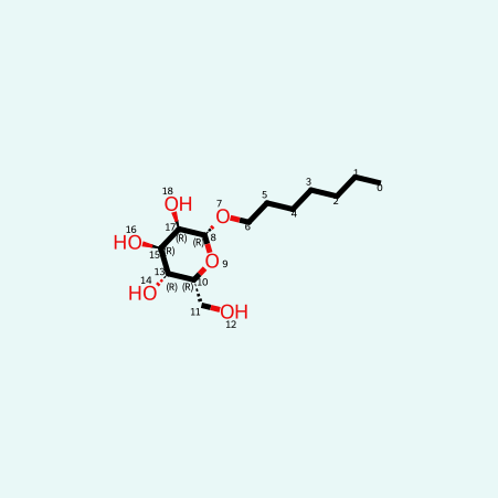 CCCCCCCO[C@@H]1O[C@H](CO)[C@H](O)[C@@H](O)[C@H]1O